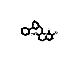 O=c1c(Br)ccc2n1C(Cc1cccc(-c3ccccc3)c1)C(=NO)CC2